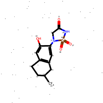 O=C1CN(c2cc3c(cc2O)CCC(C(F)(F)F)C3)S(=O)(=O)N1